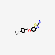 Cc1ccc(COc2ccc3nc(C#N)sc3c2)cc1